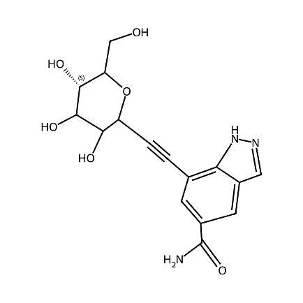 NC(=O)c1cc(C#CC2OC(CO)[C@@H](O)C(O)C2O)c2[nH]ncc2c1